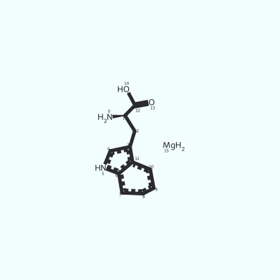 N[C@H](Cc1c[nH]c2ccccc12)C(=O)O.[MgH2]